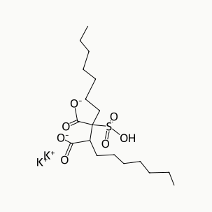 CCCCCCCC(C(=O)[O-])C(CCCCCCC)(C(=O)[O-])S(=O)(=O)O.[K+].[K+]